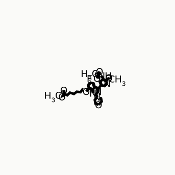 COC(=O)CCCCCCOc1cc(F)cc2c(-c3cnc(OC)c(NS(C)(=O)=O)c3)nc(N3CCOCC3)nc12